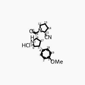 COc1ccc([C@@H]2CN[C@H](C(=O)N3CCC[C@H]3C#N)C2)cc1.Cl